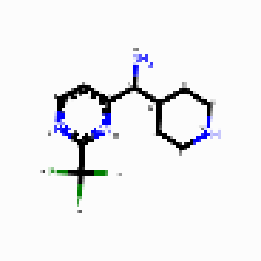 NC(c1ccnc(C(F)(F)F)n1)C1CCNCC1